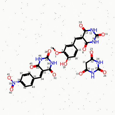 COc1cc(C=C2C(=O)NC(=O)NC2=O)ccc1O.O=C1CC(=O)NC(=O)N1.O=C1NC(=O)C(=Cc2ccc([N+](=O)[O-])cc2)C(=O)N1